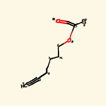 C#CCCCCOC(=O)CC